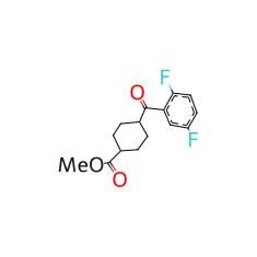 COC(=O)C1CCC(C(=O)c2cc(F)ccc2F)CC1